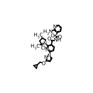 C[C@@H]1CN(c2nc(-n3ccc(OCC4CC4)n3)ccc2C(=O)NS(=O)(=O)c2cccnc2N)C(C)(C)C1